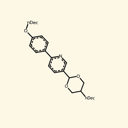 CCCCCCCCCCOc1ccc(-c2ccc(C3OCC(CCCCCCCCCC)CO3)cn2)cc1